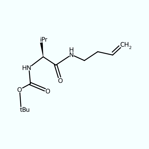 C=CCCNC(=O)[C@@H](NC(=O)OC(C)(C)C)C(C)C